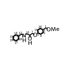 COCc1ccc(OCC(O)CNCc2ccccc2)cc1